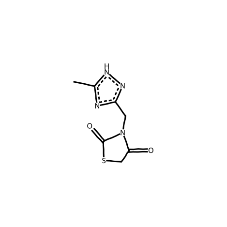 Cc1nc(CN2C(=O)CSC2=O)n[nH]1